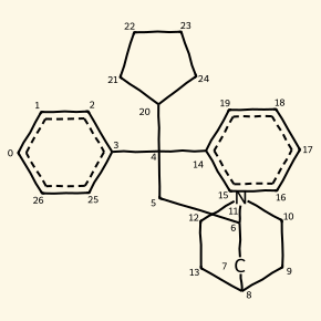 c1ccc(C(CC2CC3CCN2CC3)(c2ccccc2)C2CCCC2)cc1